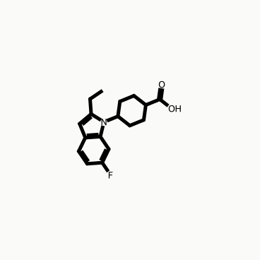 CCc1cc2ccc(F)cc2n1C1CCC(C(=O)O)CC1